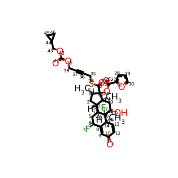 C[C@@H]1C[C@H]2[C@@H]3C[C@H](F)C4=CC(=O)C=C[C@]4(C)[C@@]3(F)[C@@H](O)C[C@]2(C)[C@@]1(OC(=O)c1ccco1)C(=O)SCC#CCOC(=O)OCC1CC1